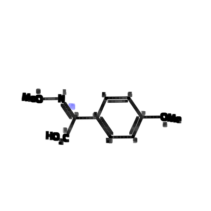 CO/N=C(\C(=O)O)c1ccc(OC)cc1